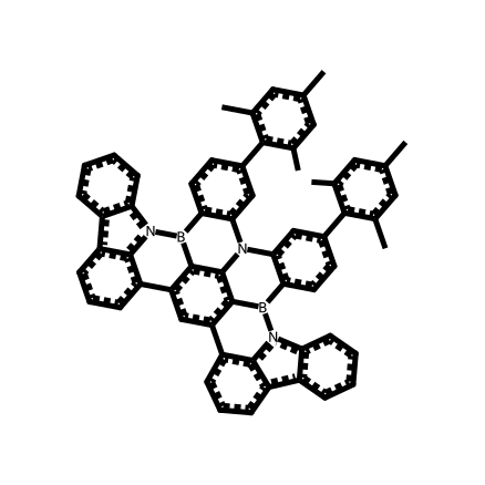 Cc1cc(C)c(-c2ccc3c(c2)N2c4cc(-c5c(C)cc(C)cc5C)ccc4B4c5c(cc6c(c52)B3n2c3ccccc3c3cccc-6c32)-c2cccc3c5ccccc5n4c23)c(C)c1